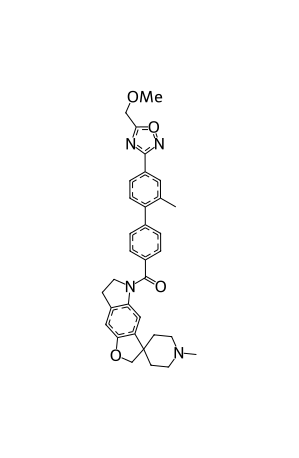 COCc1nc(-c2ccc(-c3ccc(C(=O)N4CCc5cc6c(cc54)C4(CCN(C)CC4)CO6)cc3)c(C)c2)no1